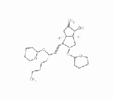 C=C1C[C@@H]2[C@H](/C=C/[C@H](CCCCC)OC3CCCCO3)[C@H](OC3CCCCO3)C[C@@H]2C1O